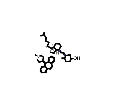 C=C1CC[C@H](O)C/C1=C/C=C1\CCC[C@]2(C)[C@@H]([C@H](C)CCCC(C)C)CC[C@@H]12.CN1CCC(=C2c3ccccc3C=Cc3ccccc32)CC1